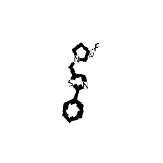 F[C@H]1CCN(Cc2cnc(-c3ccccc3)s2)C1